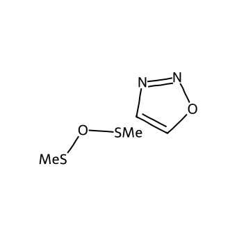 CSOSC.c1conn1